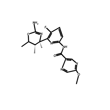 COc1cnc(C(=O)Nc2ccc(F)c([C@]3(C)N=C(N)OC(C)[C@H]3C)n2)cn1